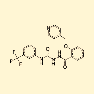 O=C(NNC(=O)c1ccccc1OCc1ccncc1)Nc1cccc(C(F)(F)F)c1